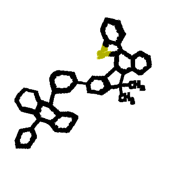 CC1(C)c2ccc(-c3cccc(-c4c5c(c(-c6ccccc6)c6ccccc46)=CCCC=5)c3)cc2-c2c1c1ccccc1c1c2sc2ccccc21